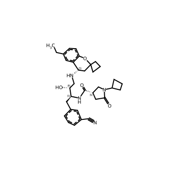 CCc1ccc2c(c1)[C@@H](NC[C@@H](O)[C@H](Cc1cccc(C#N)c1)NC(=O)[C@H]1CC(=O)N(C3CCC3)C1)CC1(CCC1)O2